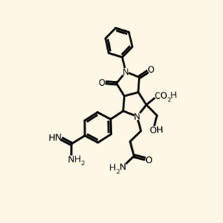 N=C(N)c1ccc(C2C3C(=O)N(c4ccccc4)C(=O)C3C(CO)(C(=O)O)N2CCC(N)=O)cc1